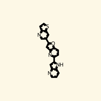 c1cnc2cc(-c3ccc4oc(-c5cnc6ccsc6c5)cc4n3)[nH]c2c1